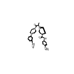 CC(C(=O)N1CCN(c2cccc(Cl)c2)CC1)N1CC[C@@H](C(=O)Nc2ccc(O)cc2)C1